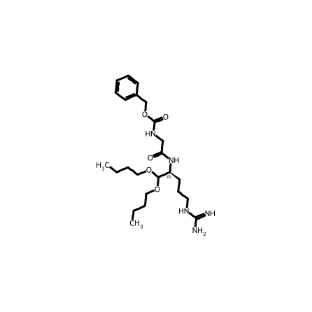 CCCCOC(OCCCC)[C@H](CCCNC(=N)N)NC(=O)CNC(=O)OCc1ccccc1